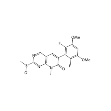 COc1cc(OC)c(F)c(-c2cc3cnc([S+](C)[O-])nc3n(C)c2=O)c1F